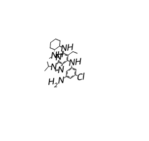 CCc1c(N[C@@H]2CCCC[C@H]2NC)nc2c(ncn2C(C)C)c1Nc1cc(N)cc(Cl)c1